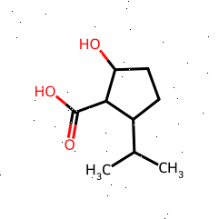 CC(C)C1CCC(O)C1C(=O)O